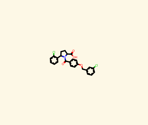 O=C(O)C1CCC(c2ccccc2Cl)N1C(=O)c1ccc(OCc2cccc(Cl)c2)cc1